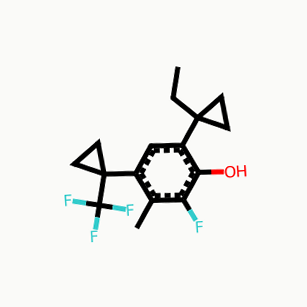 CCC1(c2cc(C3(C(F)(F)F)CC3)c(C)c(F)c2O)CC1